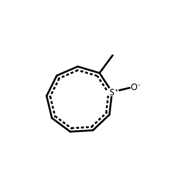 Cc1ccccccc[s+]1[O-]